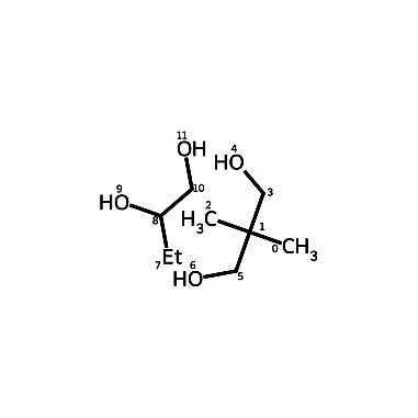 CC(C)(CO)CO.CCC(O)CO